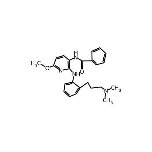 COc1ccc(NC(=O)c2ccccc2)c(Nc2ccccc2CCCN(C)C)n1